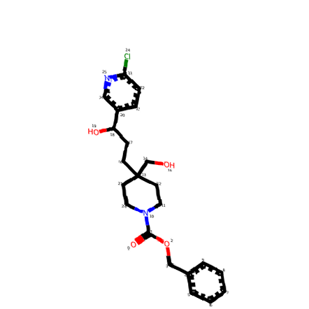 O=C(OCc1ccccc1)N1CCC(CO)(CCC(O)c2ccc(Cl)nc2)CC1